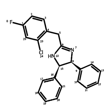 Fc1ccc(CC2=N[C@@H](c3ccccc3)[C@@H](c3ccccc3)N2)c(Cl)c1